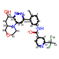 Cc1ccc(NC(=O)c2ccnc(C(C)(F)F)c2)cc1-c1cc2c(nn1)C(O)CC1COCCN21